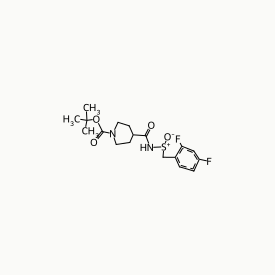 CC(C)(C)OC(=O)N1CCC(C(=O)N[S+]([O-])Cc2ccc(F)cc2F)CC1